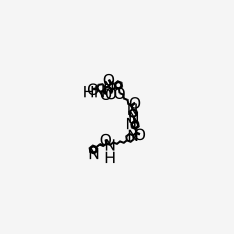 O=C(/C=C/c1cccnc1)NCCCCC1CCN(C(=O)c2ccc(N3CCN(C(=O)CCCCOc4cccc5c4C(=O)N(C4CCC(=O)NC4=O)C5=O)CC3)nc2)CC1